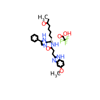 CCC(=O)CCCCC[C@H](NC(=O)CCc1nc2cc(OC)ccc2[nH]1)c1ncc(-c2ccccc2)[nH]1.O=C(O)C(F)(F)F